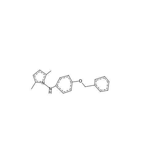 Cc1ccc(C)n1Nc1ccc(OCc2ccccc2)cc1